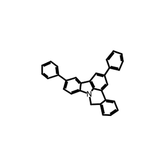 c1ccc(-c2ccc3c(c2)c2cc(-c4ccccc4)cc4c2n3Cc2ccccc2-4)cc1